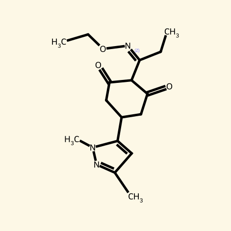 CCO/N=C(/CC)C1C(=O)CC(c2cc(C)nn2C)CC1=O